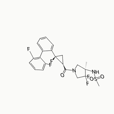 C[C@@]1(NS(C)(=O)=O)CN(C(=O)[C@@H]2C[C@@]2(F)c2ccccc2-c2c(F)cccc2F)CC1(F)F